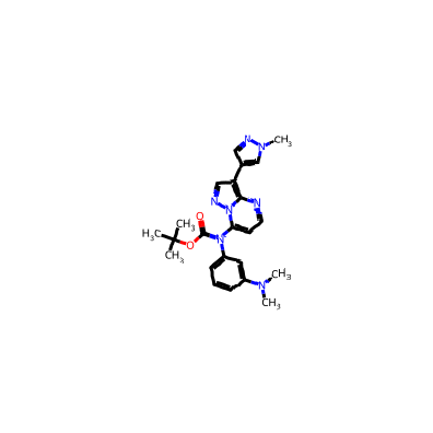 CN(C)c1cccc(N(C(=O)OC(C)(C)C)c2ccnc3c(-c4cnn(C)c4)cnn23)c1